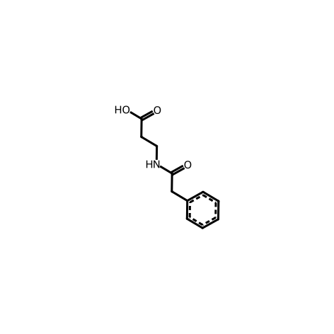 O=C(O)CCNC(=O)Cc1ccccc1